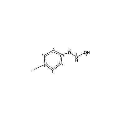 OBOc1ccc(F)cc1